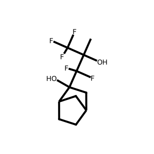 CC(O)(C(F)(F)F)C(F)(F)C1(O)CC2CCC1C2